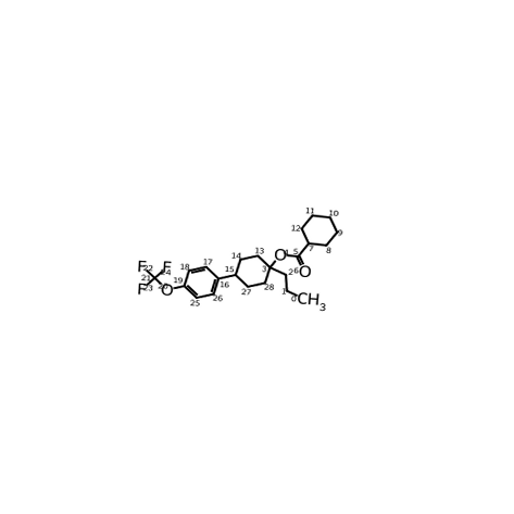 CCCC1(OC(=O)C2CCCCC2)CCC(c2ccc(OC(F)(F)F)cc2)CC1